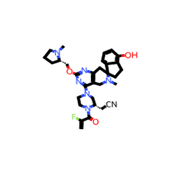 C=C(F)C(=O)N1CCN(c2nc(OC[C@@H]3CCCN3C)nc3c2CN(C)C2(CCc4c(O)cccc42)C3)C[C@@H]1CC#N